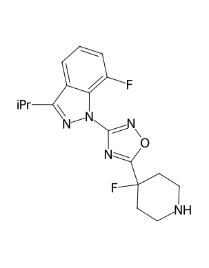 CC(C)c1nn(-c2noc(C3(F)CCNCC3)n2)c2c(F)cccc12